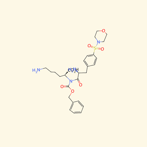 NCCCC[C@@H](C(=O)O)N(C(=O)OCc1ccccc1)C(=O)[C@@H](N)Cc1ccc(S(=O)(=O)N2CCOCC2)cc1